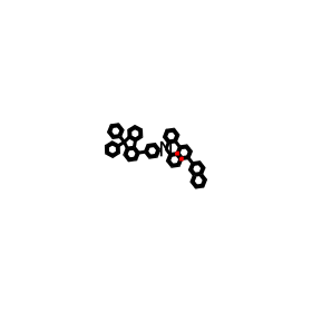 c1ccc(N(c2ccc(-c3cccc4c3-c3ccccc3C4(c3ccccc3)c3ccccc3)cc2)c2ccccc2-c2ccc(-c3ccc4ccccc4c3)cc2)cc1